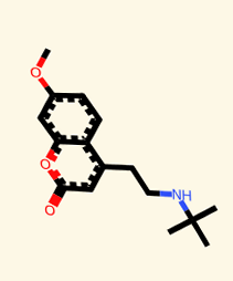 COc1ccc2c(CCNC(C)(C)C)cc(=O)oc2c1